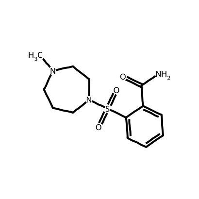 CN1CCCN(S(=O)(=O)c2ccccc2C(N)=O)CC1